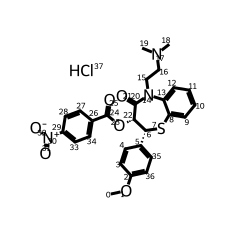 COc1ccc([C@H]2Sc3ccccc3N(CCN(C)C)C(=O)[C@H]2OC(=O)c2ccc([N+](=O)[O-])cc2)cc1.Cl